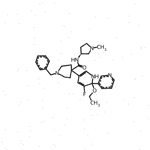 CCOC1(c2cccnc2)NC=C(C2(C(=O)N[C@H]3CCN(C)C3)CCN(Cc3ccccc3)CC2)C=C1F